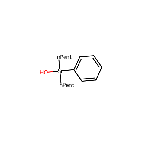 CCCCC[Si](O)(CCCCC)c1ccccc1